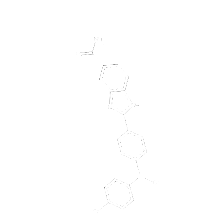 NC(=O)c1ccc2[nH]c(-c3ccc([S+]([O-])c4ccc(Cl)cc4)cc3)nc2c1